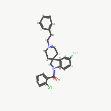 O=C(c1ccccc1Cl)N1CC2(CCN(CCc3ccccc3)CC2)c2cc(F)ccc21